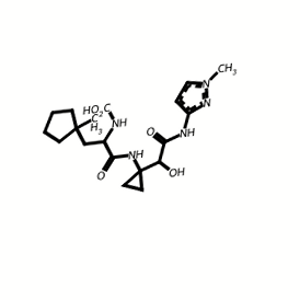 Cn1ccc(NC(=O)C(O)C2(NC(=O)C(CC3(C)CCCC3)NC(=O)O)CC2)n1